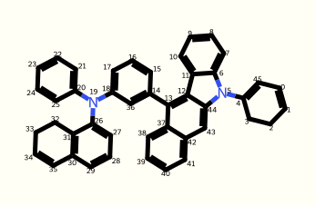 C1=CCCC(n2c3ccccc3c3c(-c4cccc(N(c5ccccc5)c5cccc6c5CCC=C6)c4)c4ccccc4cc32)=C1